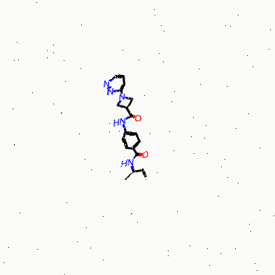 CC[C@@H](C)NC(=O)c1ccc(NC(=O)C2CN(c3cccnn3)C2)cc1